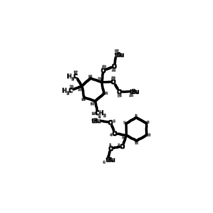 CC(C)(C)OOC1(OOC(C)(C)C)CCCCC1.CC1CC(C)(C)CC(OOC(C)(C)C)(OOC(C)(C)C)C1